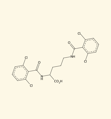 O=C(NCCCC(NC(=O)c1c(Cl)cccc1Cl)C(=O)O)c1c(Cl)cccc1Cl